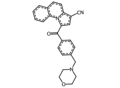 N#Cc1cc(C(=O)c2ccc(CN3CCOCC3)cc2)n2c1ccc1ccccc12